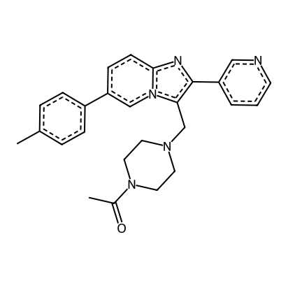 CC(=O)N1CCN(Cc2c(-c3cccnc3)nc3ccc(-c4ccc(C)cc4)cn23)CC1